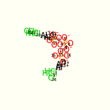 Cl.Cl.Cl.Cl.O=P([O-])([O-])[O-].O=P([O-])([O-])[O-].O=P([O-])([O-])[O-].[Al+3].[Al+3].[Al+3].[Al+3].[Cl-].[Cl-].[Cl-]